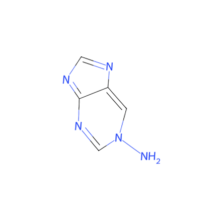 Nn1cnc2ncnc-2c1